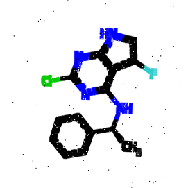 C[C@H](Nc1nc(Cl)nc2[nH]cc(F)c12)c1ccccc1